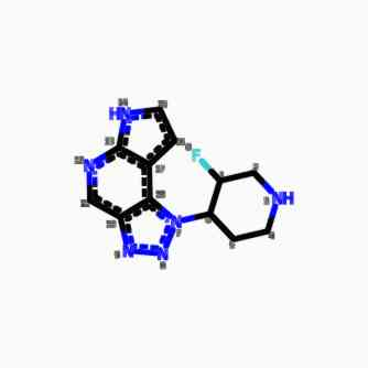 FC1CNCCC1n1nnc2cnc3[nH]ccc3c21